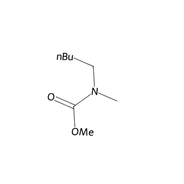 [CH2]CCCCN(C)C(=O)OC